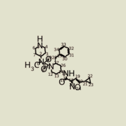 CN(C1CCNCC1)S(=O)(=O)N1CC[C@@H](NC(=O)c2cc(C3CC3)on2)C[C@@H]1Cc1ccccc1